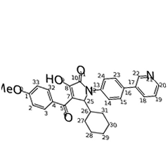 COc1ccc(C(=O)C2=C(O)C(=O)N(c3ccc(-c4cccnc4)cc3)C2C2CCCCC2)cc1